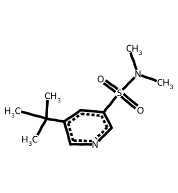 CN(C)S(=O)(=O)c1cncc(C(C)(C)C)c1